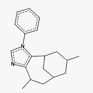 CC1CC2CC(C)c3ncn(-c4ccccc4)c3C(C1)C2